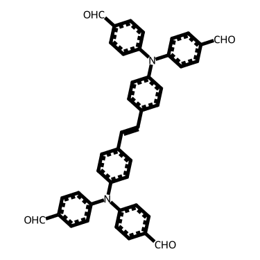 O=Cc1ccc(N(c2ccc(C=O)cc2)c2ccc(C=Cc3ccc(N(c4ccc(C=O)cc4)c4ccc(C=O)cc4)cc3)cc2)cc1